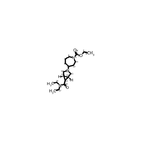 CCOC(=O)N1CCCC(N2C[C@@H]3C(C(=O)N(CC)CC)[C@@H]3C2)CC1